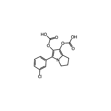 O=C(O)Oc1c(OC(=O)O)c(-c2cccc(Cl)c2)n2c1CCC2